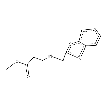 COC(=O)CCNCc1nc2ccccc2s1